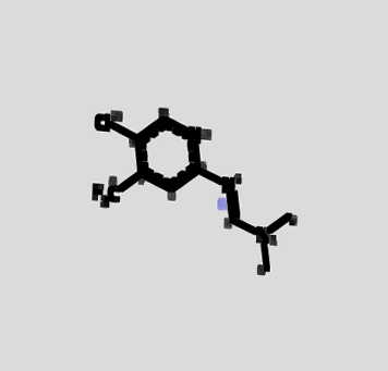 CN(C)/C=N/c1cc(C(F)(F)F)c(Cl)cn1